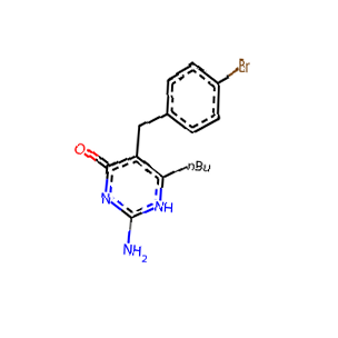 CCCCc1[nH]c(N)nc(=O)c1Cc1ccc(Br)cc1